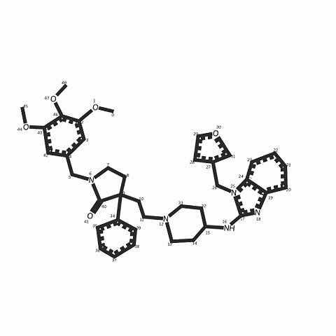 COc1cc(CN2CCC(CCN3CCC(Nc4nc5ccccc5n4Cc4ccoc4)CC3)(c3ccccc3)C2=O)cc(OC)c1OC